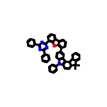 CC1(C)c2ccccc2C2c3c(n(-c4ccccc4)c4ccc(-c5cccc6c5oc5c(-c7nc(-c8ccccc8)nc(-c8ccccc8)n7)cccc56)cc34)C=CC21